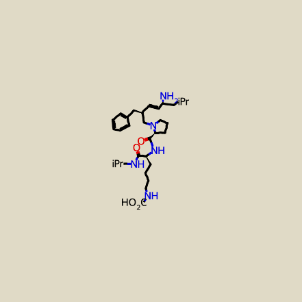 CC(C)C[C@H](N)/C=C/[C@H](Cc1ccccc1)CN1CCC[C@H]1C(=O)N[C@@H](CCCCNC(=O)O)C(=O)NC(C)C